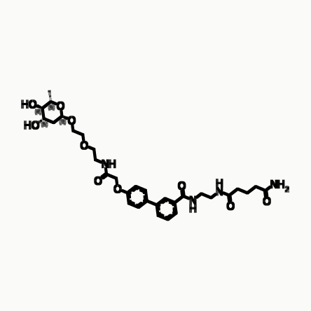 C[C@@H]1O[C@@H](OCCOCCNC(=O)COc2ccc(-c3cccc(C(=O)NCCNC(=O)CCCC(N)=O)c3)cc2)C[C@H](O)[C@H]1O